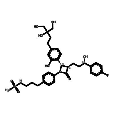 CS(=O)(=O)NCCCc1ccc(N2C(=O)[C@H](CC[C@H](O)c3ccc(F)cc3)[C@H]2c2ccc(CCC(O)(CO)CO)cc2O)cc1